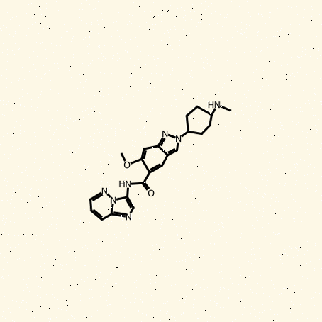 CNC1CCC(n2cc3cc(C(=O)Nc4cnc5cccnn45)c(OC)cc3n2)CC1